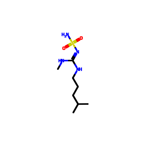 CN/C(=N\S(N)(=O)=O)NCCCC(C)C